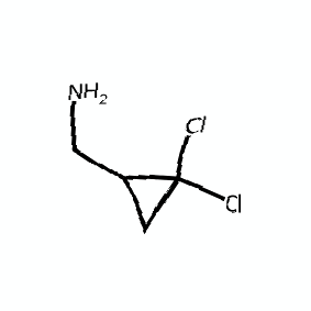 NCC1CC1(Cl)Cl